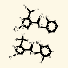 Cn1cc(C(=O)Nc2c(F)cccc2Br)c(C(F)(F)F)n1.Cn1cc(C(=O)Nc2ccccc2Cl)c(C(F)F)n1